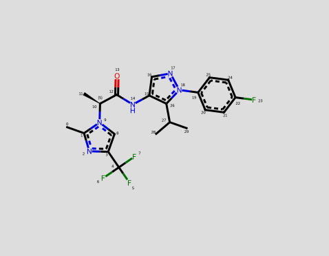 Cc1nc(C(F)(F)F)cn1[C@@H](C)C(=O)Nc1cnn(-c2ccc(F)cc2)c1C(C)C